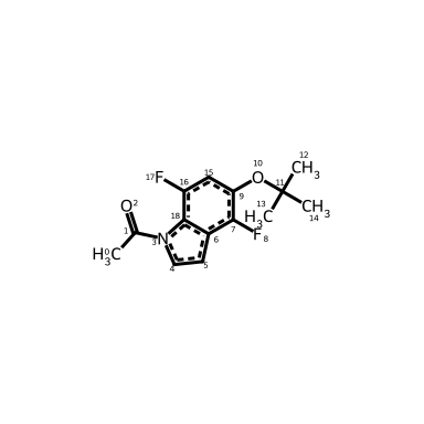 CC(=O)n1ccc2c(F)c(OC(C)(C)C)cc(F)c21